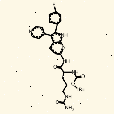 CC(C)(C)OC(=O)NC(CCCNC(N)=O)C(=O)Nc1ccc2c(-c3ccncc3)c(-c3ccc(F)cc3)[nH]c2n1